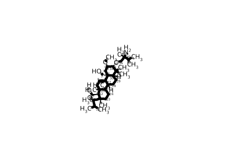 CO[C@@H]1C[C@]2(CO)C3=CC[C@@]4(C)[C@H](C(=O)O)[C@@](C)([C@H](C)C(C)C)CC[C@]4(C)[C@H]3CC[C@H]2C(C)(C)[C@H]1OC[C@](C)(N)C(C)C